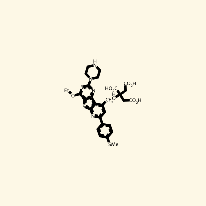 CCOc1nc(N2CCNCC2)nc2c1sc1nc(-c3ccc(SC)cc3)cc(C(F)(F)F)c12.O=C(O)CC(O)(CC(=O)O)C(=O)O